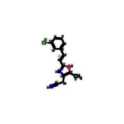 Cc1oc(/C=C/c2cccc(Cl)c2)nc1CC#N